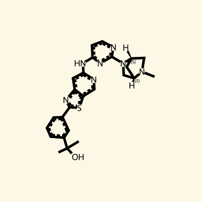 CN1C[C@@H]2C[C@H]1CN2c1nccc(Nc2cc3nc(-c4cccc(C(C)(C)O)c4)sc3cn2)n1